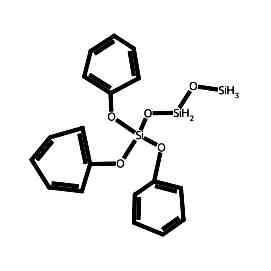 [SiH3]O[SiH2]O[Si](Oc1ccccc1)(Oc1ccccc1)Oc1ccccc1